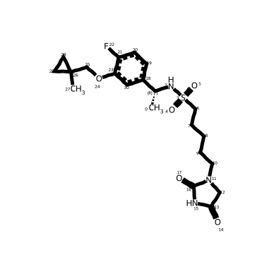 C[C@@H](NS(=O)(=O)CCCCCN1CC(=O)NC1=O)c1ccc(F)c(OCC2(C)CC2)c1